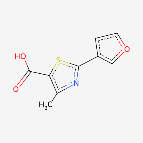 Cc1nc(-c2ccoc2)sc1C(=O)O